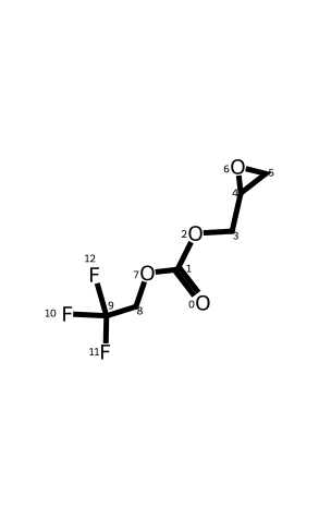 O=C(OCC1CO1)OCC(F)(F)F